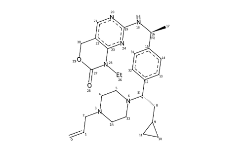 C=CCN1CCN([C@@H](CC2CC2)c2ccc([C@H](C)Nc3ncc4c(n3)N(CC)C(=O)OC4)cc2)CC1